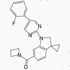 O=C(c1ccc2c(c1)N(c1ncc(-c3ccccc3F)cn1)CC21CC1)N1CCC1